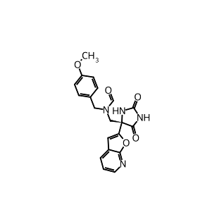 COc1ccc(CN(C=O)C[C@@]2(c3cc4cccnc4o3)NC(=O)NC2=O)cc1